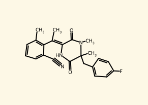 CC(=C1NC(=O)C(C)(Cc2ccc(F)cc2)N(C)C1=O)c1c(C)cccc1C#N